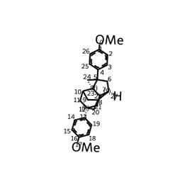 COc1ccc(C23C[C@H]4C5CC6C[C@](c7ccc(OC)cc7)(C5)CC4[C@@]62C3)cc1